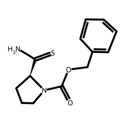 NC(=S)[C@@H]1CCCN1C(=O)OCc1ccccc1